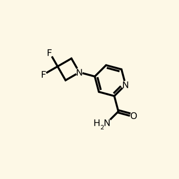 NC(=O)c1cc(N2CC(F)(F)C2)ccn1